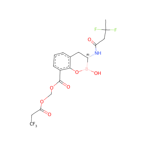 CC(F)(F)CC(=O)N[C@H]1Cc2cccc(C(=O)OCOC(=O)CC(F)(F)F)c2OB1O